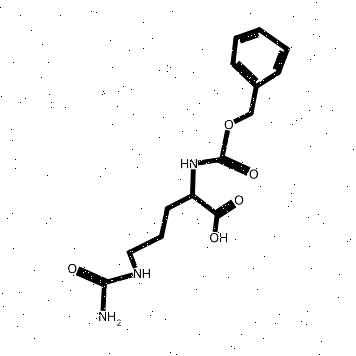 NC(=O)NCCCC(NC(=O)OCc1ccccc1)C(=O)O